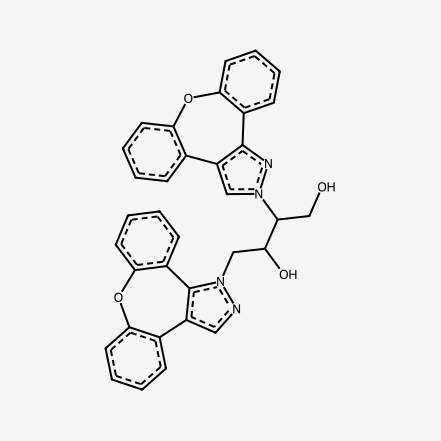 OCC(C(O)Cn1ncc2c1-c1ccccc1Oc1ccccc1-2)n1cc2c(n1)-c1ccccc1Oc1ccccc1-2